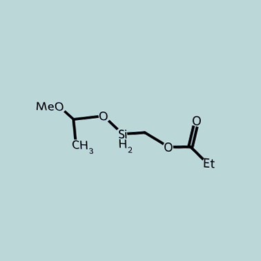 CCC(=O)OC[SiH2]OC(C)OC